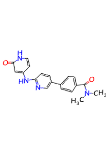 CN(C)C(=O)c1ccc(-c2ccc(Nc3cc[nH]c(=O)c3)nc2)cc1